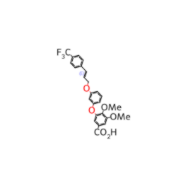 COc1cc(C(=O)O)cc(Oc2cccc(OC/C=C/c3ccc(C(F)(F)F)cc3)c2)c1OC